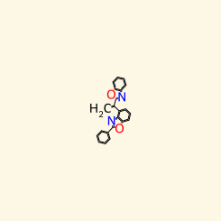 C=C(c1nc2ccccc2o1)c1cccc2oc(-c3ccccc3)nc12